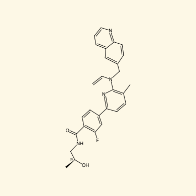 C=CN(Cc1ccc2ncccc2c1)c1nc(-c2ccc(C(=O)NC[C@H](C)O)c(F)c2)ccc1C